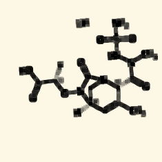 CC1=C[C@@H]2CN(C(=O)N2O[C@@H](F)C(=O)O)[C@@H]1C(=O)N(C)NS(N)(=O)=O.[LiH]